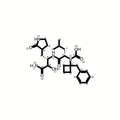 CC(C)C[C@@H](C(=O)N[C@@H](CC1CCNC1=O)C(O)C(N)=O)N(C(=O)O)C1(Cc2ccccc2)CCC1